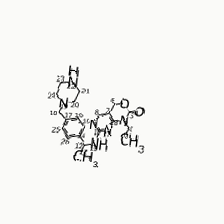 CCN1C(=O)OCc2cnc(NC(C)c3ccc(CN4CCNCC4)cc3)nc21